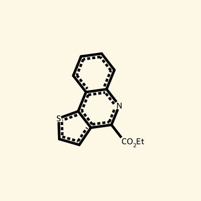 CCOC(=O)c1nc2ccccc2c2sccc12